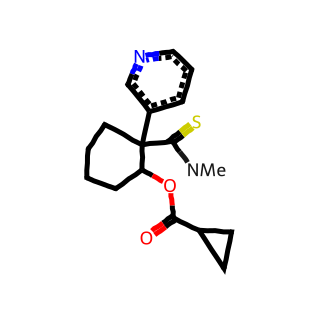 CNC(=S)C1(c2cccnc2)CCCCC1OC(=O)C1CC1